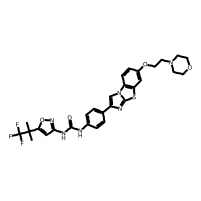 CC(C)(c1cc(NC(=O)Nc2ccc(-c3cn4c(n3)sc3cc(OCCN5CCOCC5)ccc34)cc2)no1)C(F)(F)F